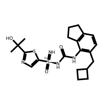 CC(C)(O)c1ncc([S@](=N)(=O)NC(=O)Nc2c(CC3CCC3)ccc3c2CCC3)s1